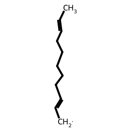 [CH2]/C=C/CCCCC/C=C/C